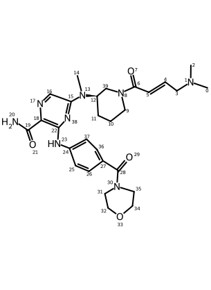 CN(C)CC=CC(=O)N1CCC[C@@H](N(C)c2cnc(C(N)=O)c(Nc3ccc(C(=O)N4CCOCC4)cc3)n2)C1